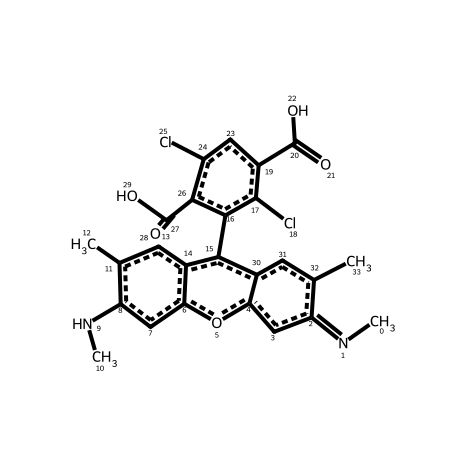 C/N=c1/cc2oc3cc(NC)c(C)cc3c(-c3c(Cl)c(C(=O)O)cc(Cl)c3C(=O)O)c-2cc1C